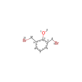 COc1c(CBr)cccc1CBr